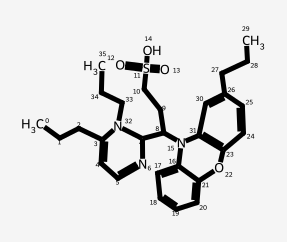 CCCC1=CC=NC(C(CCS(=O)(=O)O)N2c3ccccc3Oc3ccc(CCC)cc32)N1CCC